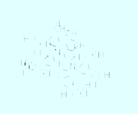 CCC(C)(C)c1cc2c(cc1C(C)C)N(c1cc3c(cc1-c1ccccc1C)C(C)(C)CCC3(C)C)c1cc(C)cc3c1B2c1sc2ccc(C(C)(C)C)cc2c1N3c1ccc2c(c1)C(C)(C)CCC2(C)C